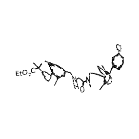 CCOC(=O)C(C)(C)Oc1c(C)cc(CNCC(=O)N(C)Cc2nc(-c3cccc(Cl)c3)oc2C)cc1C